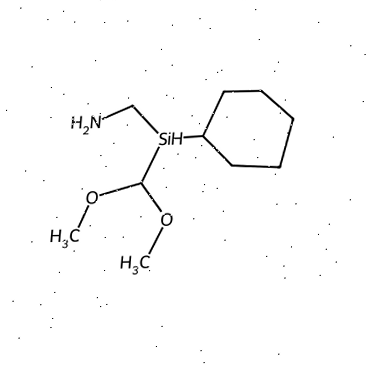 COC(OC)[SiH](CN)C1CCCCC1